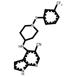 N#Cc1cnc2[nH]ccc2c1NC1CCN(Sc2cccc(C(F)(F)F)c2)CC1